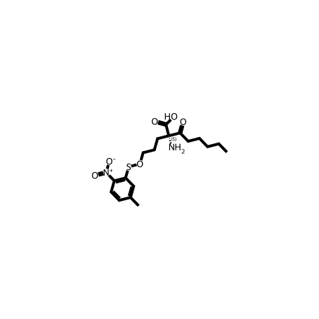 CCCCCC(=O)[C@@](N)(CCCOSc1cc(C)ccc1[N+](=O)[O-])C(=O)O